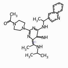 CC(=O)N1CCN(C2=N/C(=C(\C)NC(C)C)C(=N)C(NC(C)c3cnc4ccccc4c3)=N2)CC1